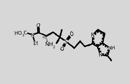 CCN(C(=O)O)C(=O)[C@@H](N)CC(C)(C)S(=O)(=O)CCCc1nccc2[nH]c(C)nc12